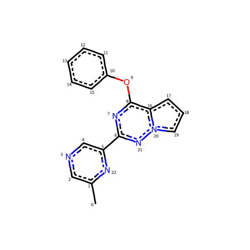 Cc1cncc(-c2nc(Oc3ccccc3)c3cccn3n2)n1